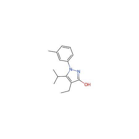 CCc1c(O)nn(-c2cccc(C)c2)c1C(C)C